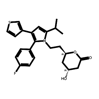 CC(C)c1cc(-c2ccsc2)c(-c2ccc(F)cc2)n1CC[C@@H]1C[C@@H](O)CC(=O)O1